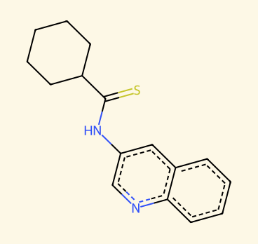 S=C(Nc1cnc2ccccc2c1)C1CCCCC1